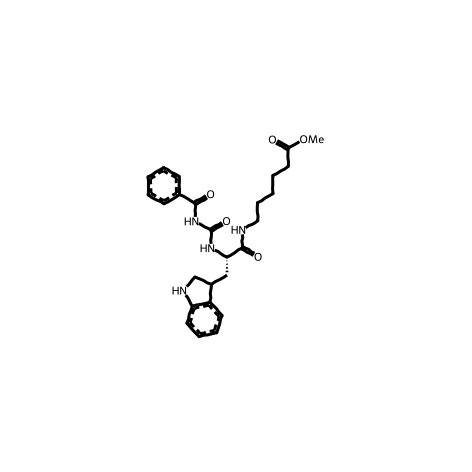 COC(=O)CCCCCNC(=O)[C@H](CC1CNc2ccccc21)NC(=O)NC(=O)c1ccccc1